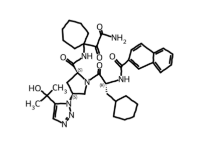 CC(C)(O)c1cnnn1[C@H]1C[C@@H](C(=O)NC2(C(=O)C(N)=O)CCCCCC2)N(C(=O)[C@@H](CC2CCCCC2)NC(=O)c2ccc3ccccc3c2)C1